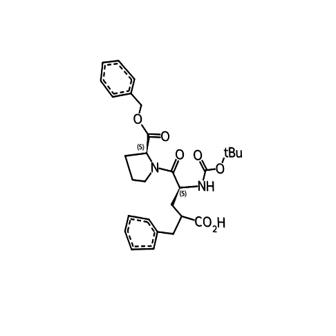 CC(C)(C)OC(=O)N[C@@H](CC(Cc1ccccc1)C(=O)O)C(=O)N1CCC[C@H]1C(=O)OCc1ccccc1